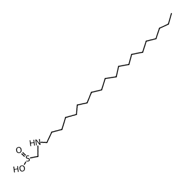 CCCCCCCCCCCCCCCCCCCCNCS(=O)O